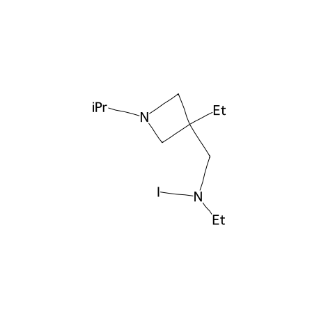 CCN(I)CC1(CC)CN(C(C)C)C1